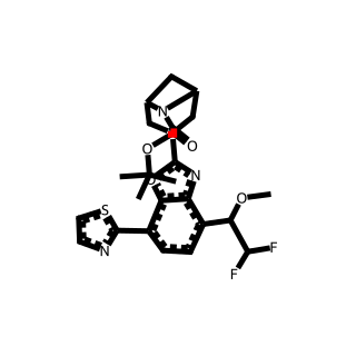 COC(c1ccc(-c2nccs2)c2oc(N3CC4CC(C3)N4C(=O)OC(C)(C)C)nc12)C(F)F